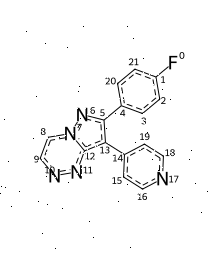 Fc1ccc(-c2nn3ccnnc3c2-c2ccncc2)cc1